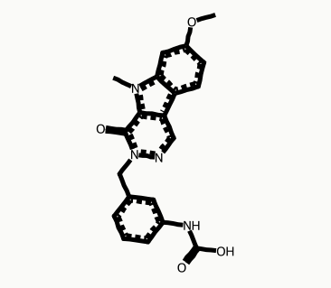 COc1ccc2c3cnn(Cc4cccc(NC(=O)O)c4)c(=O)c3n(C)c2c1